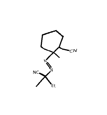 CCC(C)(C#N)/N=N/C1(C)CCCCC1C#N